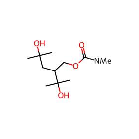 CNC(=O)OCC(CC(C)(C)O)C(C)(C)O